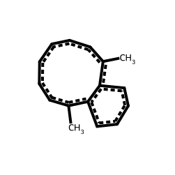 Cc1ccccccc(C)c2ccccc12